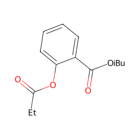 CCC(=O)Oc1ccccc1C(=O)OCC(C)C